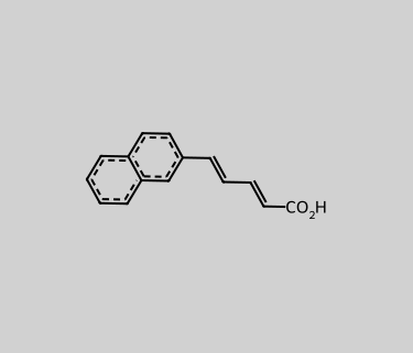 O=C(O)C=CC=Cc1ccc2ccccc2c1